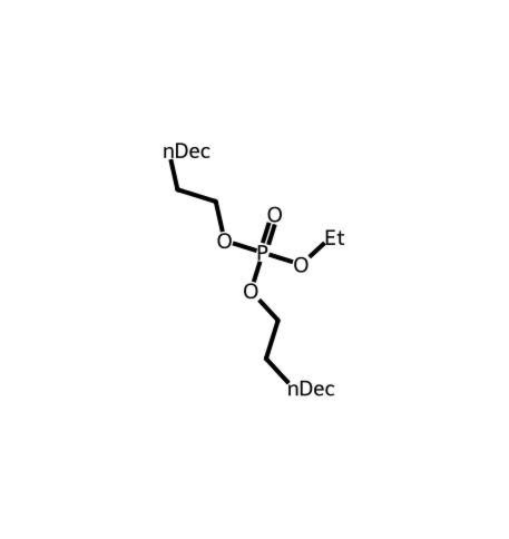 CCCCCCCCCCCCOP(=O)(OCC)OCCCCCCCCCCCC